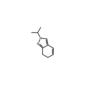 CC(C)n1cc2c(n1)CCC=C2